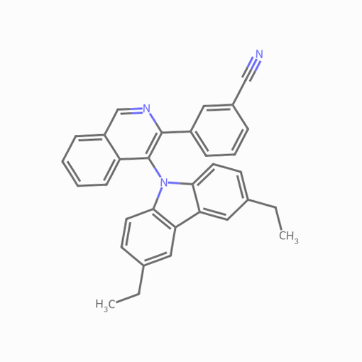 CCc1ccc2c(c1)c1cc(CC)ccc1n2-c1c(-c2cccc(C#N)c2)ncc2ccccc12